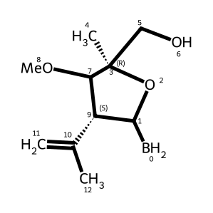 BC1O[C@](C)(CO)C(OC)[C@H]1C(=C)C